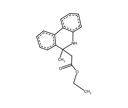 CCOC(=O)CC1(C)Nc2ccccc2-c2ccccc21